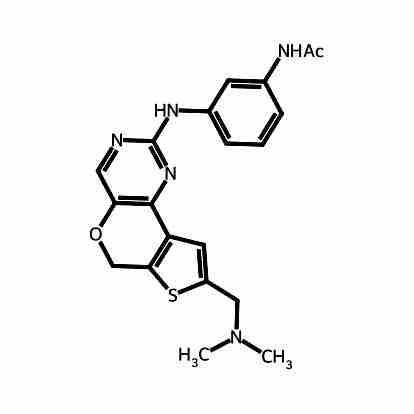 CC(=O)Nc1cccc(Nc2ncc3c(n2)-c2cc(CN(C)C)sc2CO3)c1